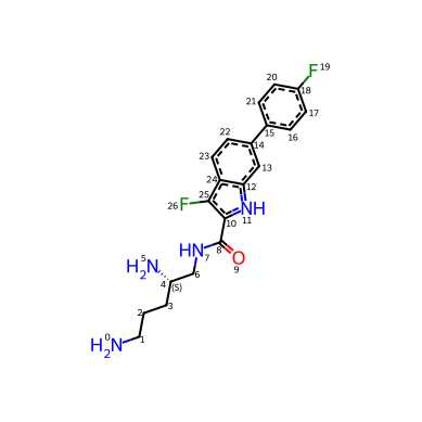 NCCC[C@H](N)CNC(=O)c1[nH]c2cc(-c3ccc(F)cc3)ccc2c1F